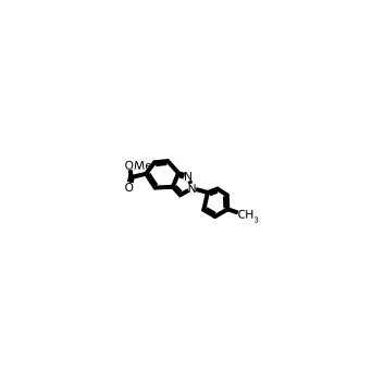 COC(=O)c1ccc2nn(-c3ccc(C)cc3)cc2c1